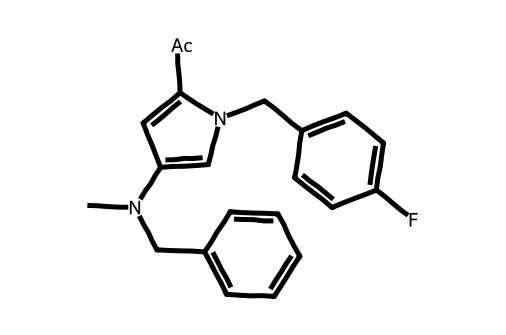 CC(=O)c1cc(N(C)Cc2ccccc2)cn1Cc1ccc(F)cc1